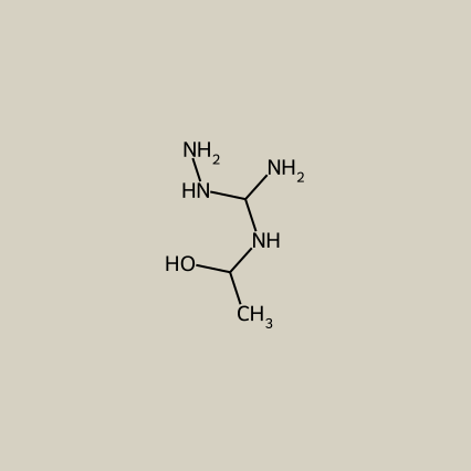 CC(O)NC(N)NN